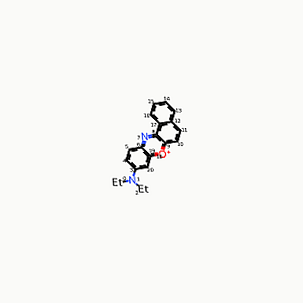 CCN(CC)c1ccc2nc3c(ccc4ccccc43)[o+]c2c1